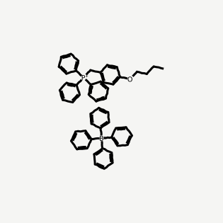 CCCCOc1ccc(C[P+](c2ccccc2)(c2ccccc2)c2ccccc2)cc1.c1ccc([B-](c2ccccc2)(c2ccccc2)c2ccccc2)cc1